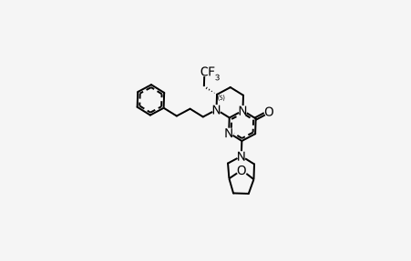 O=c1cc(N2CC3CCC(C2)O3)nc2n1CC[C@@H](CC(F)(F)F)N2CCCc1ccccc1